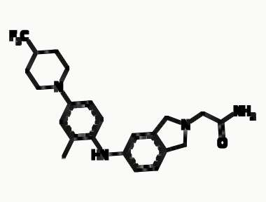 Cc1cc(N2CCC(C(F)(F)F)CC2)ccc1Nc1ccc2c(c1)CN(CC(N)=O)C2